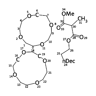 C1COCCOCCOCCO1.C1COCCOCCOCCO1.CCCCCCCCCCCCOC(=O)C(C)C(=O)OC